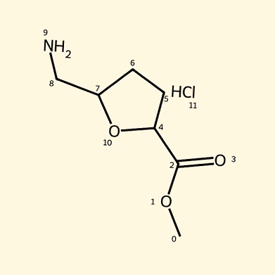 COC(=O)C1CCC(CN)O1.Cl